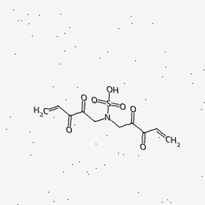 C=CC(=O)C(=O)CN(CC(=O)C(=O)C=C)S(=O)(=O)O